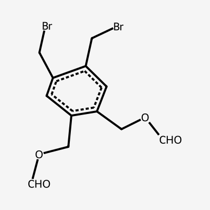 O=COCc1cc(CBr)c(CBr)cc1COC=O